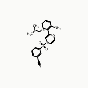 CN(C)C[C@H]1CC=CC(N)=C1C1=CN(S(=O)(=O)c2cccc(C#N)c2)C=CO1